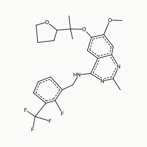 COc1cc2nc(C)nc(NCc3cccc(C(F)(F)F)c3F)c2cc1OC(C)(C)C1CCCO1